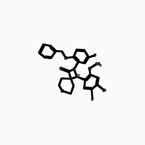 COc1cc(Br)c(F)cc1[C@@H]1N(c2cc(F)ccc2OCc2ccccc2)C(=O)C12CCOCC2